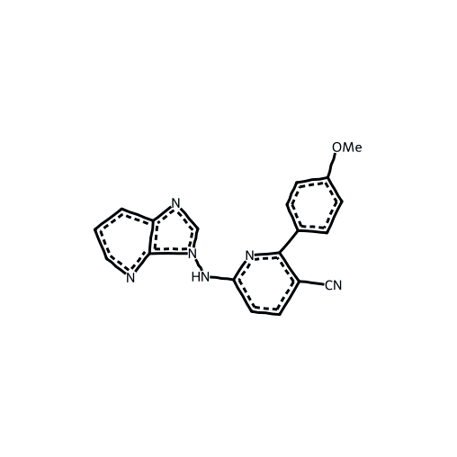 COc1ccc(-c2nc(Nn3cnc4cccnc43)ccc2C#N)cc1